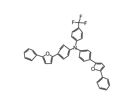 FC(F)(F)c1ccc(N(c2ccc(-c3ccc(-c4ccccc4)o3)cc2)c2ccc(-c3ccc(-c4ccccc4)o3)cc2)cc1